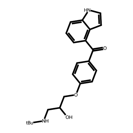 CC(C)(C)NCC(O)COc1ccc(C(=O)c2cccc3[nH]ccc23)cc1